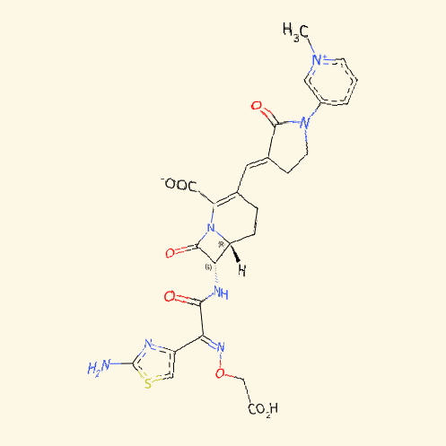 C[n+]1cccc(N2CCC(=CC3=C(C(=O)[O-])N4C(=O)[C@@H](NC(=O)C(=NOCC(=O)O)c5csc(N)n5)[C@H]4CC3)C2=O)c1